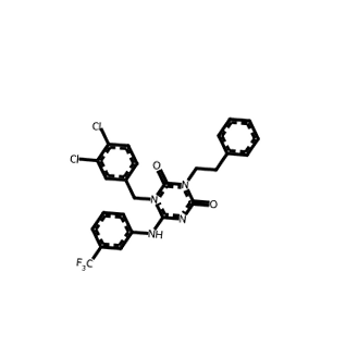 O=c1nc(Nc2cccc(C(F)(F)F)c2)n(Cc2ccc(Cl)c(Cl)c2)c(=O)n1CCc1ccccc1